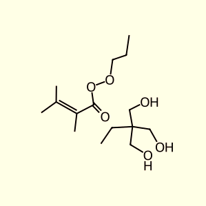 CCC(CO)(CO)CO.CCCOOC(=O)C(C)=C(C)C